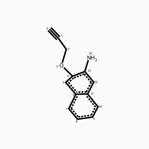 C#CCOc1cc2ccccc2cc1N